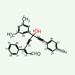 Cc1cc(C)cc(C(O)(C#C/C(=C\C=O)c2ccccc2)C#Cc2ccc(C(C)(C)C)cc2)c1